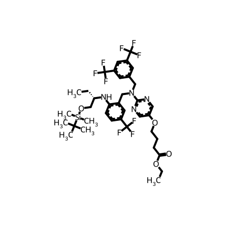 CCOC(=O)CCCOc1cnc(N(Cc2cc(C(F)(F)F)cc(C(F)(F)F)c2)Cc2cc(C(F)(F)F)ccc2N[C@@H](CC)CO[Si](C)(C)C(C)(C)C)nc1